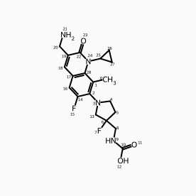 Cc1c(N2CCC(F)(CNC(=O)O)C2)c(F)cc2cc(CN)c(=O)n(C3CC3)c12